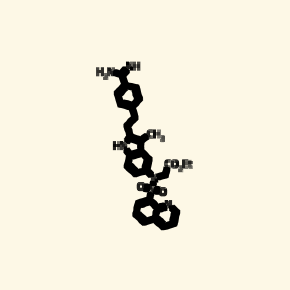 CCOC(=O)CN(c1ccc2[nH]c(CCc3ccc(C(=N)N)cc3)c(C)c2c1)S(=O)(=O)c1cccc2cccnc12